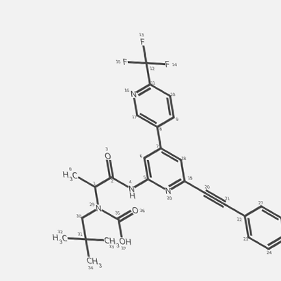 CC(C(=O)Nc1cc(-c2ccc(C(F)(F)F)nc2)cc(C#Cc2ccccc2)n1)N(CC(C)(C)C)C(=O)O